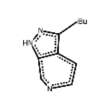 CCC(C)c1n[nH]c2cnccc12